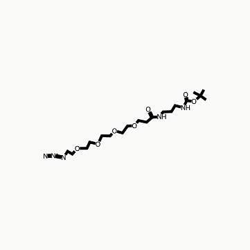 CC(C)(C)OC(=O)NCCCNC(=O)CCOCCOCCOCCOCCN=[N+]=[N-]